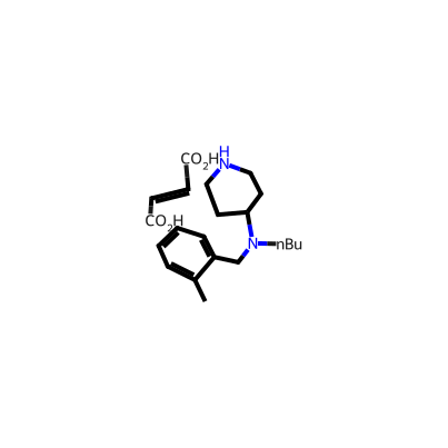 CCCCN(Cc1ccccc1C)C1CCNCC1.O=C(O)/C=C/C(=O)O